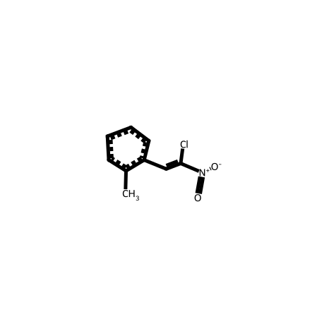 Cc1ccccc1C=C(Cl)[N+](=O)[O-]